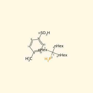 CCCCCCC(P)(CCCCCC)CCCCCC.Cc1ccc(S(=O)(=O)O)cc1